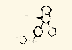 O=c1c(-c2ccc(N[C@@H]3CCNC3)cc2)c(N2CCCC2)nc2ccccn12.[Cl-].[H+]